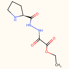 CCOC(=O)C(=O)NNC(=O)[C@@H]1CCCN1